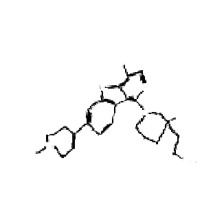 CNCCC1(C=O)CCCN(c2ncc(C=O)c3[nH]c4cc(C5CCN(C)CC5)ccc4c23)C1